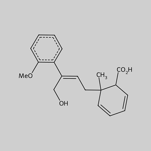 COc1ccccc1/C(=C/CC1(C)C=CC=CC1C(=O)O)CO